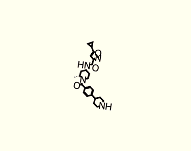 C[C@@H]1C[C@H](NC(=O)c2cc(C3CC3)on2)CCN1C(=O)c1ccc(C2CCNCC2)cc1